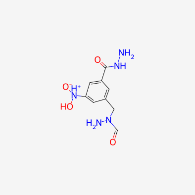 NNC(=O)c1cc(CN(N)C=O)cc([NH+]([O-])O)c1